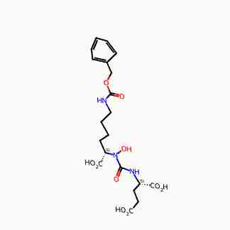 O=C(O)CC[C@H](NC(=O)N(O)[C@@H](CCCCNC(=O)OCc1ccccc1)C(=O)O)C(=O)O